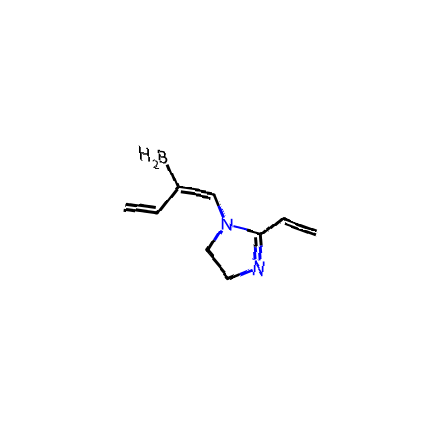 B/C(C=C)=C/N1CCN=C1C=C